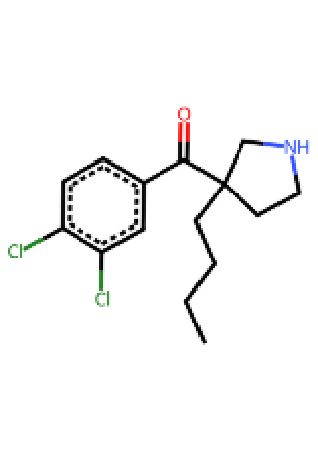 CCCCC1(C(=O)c2ccc(Cl)c(Cl)c2)CCNC1